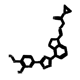 CC(C)Oc1ccc(-c2nc(-c3cccc4c3CCC4/C=N/CC(=O)N3CC3)no2)cc1C#N